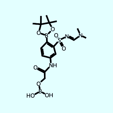 CN(C)C=NS(=O)(=O)c1cc(NC(=O)COB(O)O)ccc1B1OC(C)(C)C(C)(C)O1